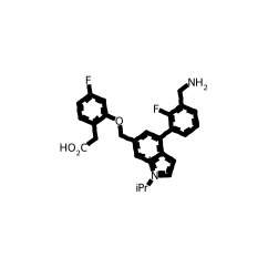 CC(C)n1ccc2c(-c3cccc(CN)c3F)cc(COc3cc(F)ccc3CC(=O)O)cc21